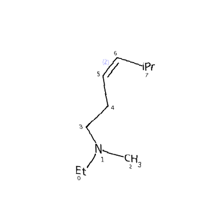 CCN(C)CC/C=C\C(C)C